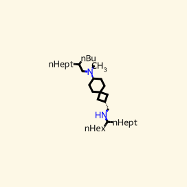 CCCCCCCC(CCCC)CN(C)[C@H]1CCC2(CC1)C[C@@H](CNC(CCCCCC)CCCCCCC)C2